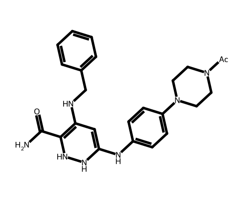 CC(=O)N1CCN(c2ccc(NC3=CC(NCc4ccccc4)=C(C(N)=O)NN3)cc2)CC1